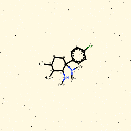 CCCN(CCC)C1(c2ccc(Cl)cc2)CCC(C)C(C)C1NCC